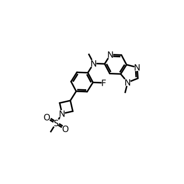 CN(c1cc2c(cn1)ncn2C)c1ccc(C2CN(S(C)(=O)=O)C2)cc1F